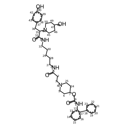 O=C(CCN1CCC(OC(=O)Nc2ccccc2-c2ccccc2)CC1)NCCCCCNC(=O)C(Cc1ccc(O)cc1)N1CCC(O)CC1